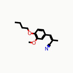 CCCCOc1ccc(/C=C(/C)C#N)cc1OC